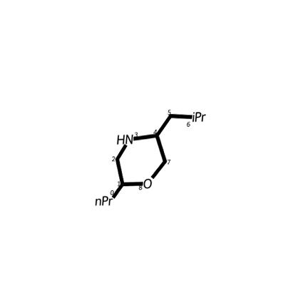 CCCC1CNC(CC(C)C)CO1